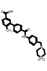 Cc1ccc(C(=O)O)cc1-c1ccc(C(=O)Nc2ccc(CN3CCS(=O)(=O)CC3)cc2)cc1